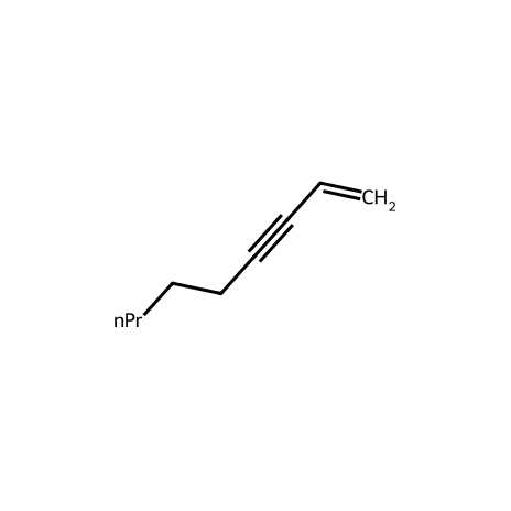 C=CC#CCCCCC